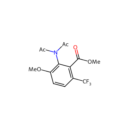 COC(=O)c1c(C(F)(F)F)ccc(OC)c1N(C(C)=O)C(C)=O